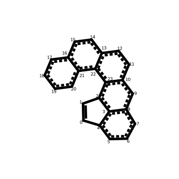 C1=Cc2c3c1cccc3cc1ccc3ccc4ccccc4c3c21